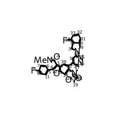 CNC(=O)c1c(-c2ccc(F)cc2)oc2cc(N(C)S(C)(=O)=O)c(-c3cnnc(N4Cc5cccc(F)c5C4)c3)cc12